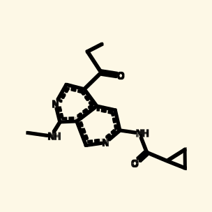 CCC(=O)c1cnc(NC)c2cnc(NC(=O)C3CC3)cc12